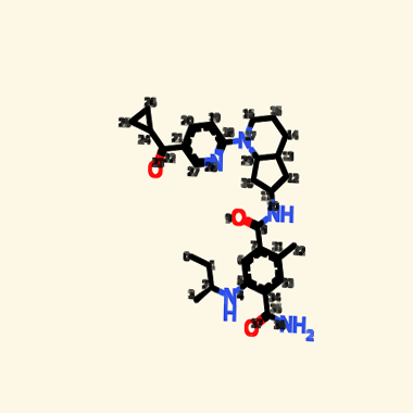 CC[C@H](C)Nc1cc(C(=O)NC2CC3CCCN(c4ccc(C(=O)C5CC5)cn4)C3C2)c(C)cc1C(N)=O